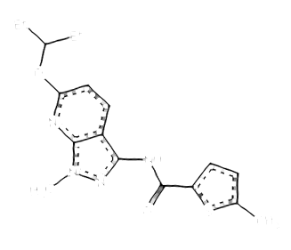 CCC(CC)Oc1ccc2c(NC(=O)c3ccc(C)s3)nn(C)c2n1